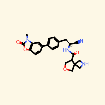 Cn1c(=O)oc2ccc(-c3ccc(C[C@@H](C#N)NC(=O)C4COCC45CNC5)cc3)cc21